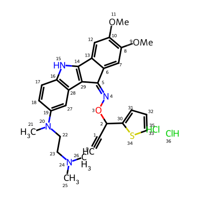 C#CC(ON=C1c2cc(OC)c(OC)cc2-c2[nH]c3ccc(N(C)CCN(C)C)cc3c21)c1cccs1.Cl.Cl